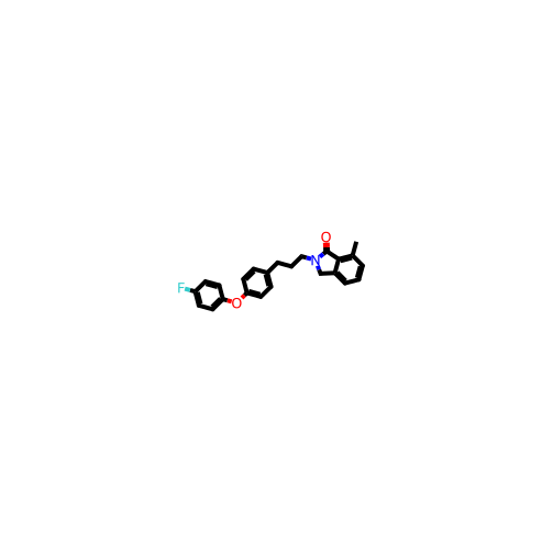 Cc1cccc2c1C(=O)N(CCCc1ccc(Oc3ccc(F)cc3)cc1)C2